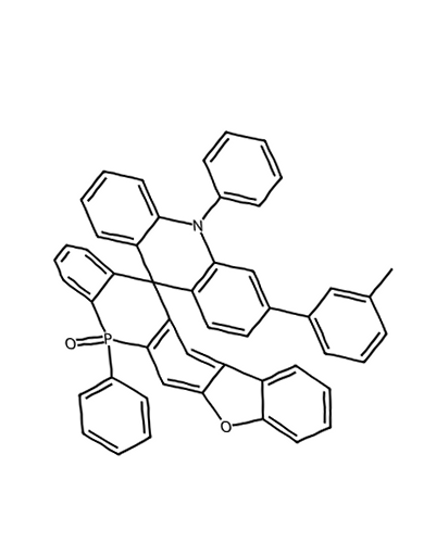 Cc1cccc(-c2ccc3c(c2)N(c2ccccc2)c2ccccc2C32c3ccccc3P(=O)(c3ccccc3)c3cc4oc5ccccc5c4cc32)c1